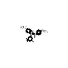 C[C@@H]1CC(n2c(Nc3ccc(OC(F)(F)F)cc3)nc3cc(C(=O)O)ccc32)CC(C)(C)C1